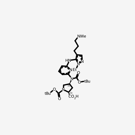 CCn1ncc(CCCNC)c1Nc1cccc(N(C(=O)OC(C)(C)C)[C@H]2C[C@@H](C(=O)O)N(C(=O)OC(C)(C)C)C2)n1